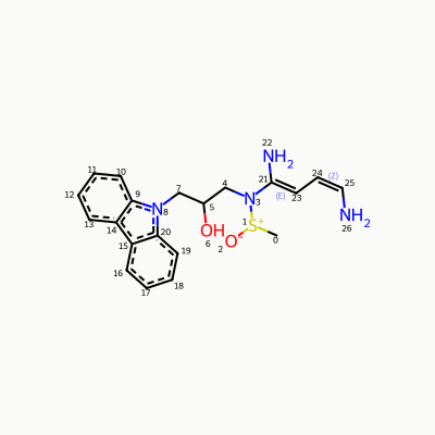 C[S+]([O-])N(CC(O)Cn1c2ccccc2c2ccccc21)/C(N)=C/C=C\N